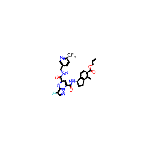 C=CCOC(=O)c1ccc2c(c1C)CC[C@@H]2NC(=O)c1cc(C(=O)NCc2ccc(C(F)(F)F)nc2)nc2c(F)cnn12